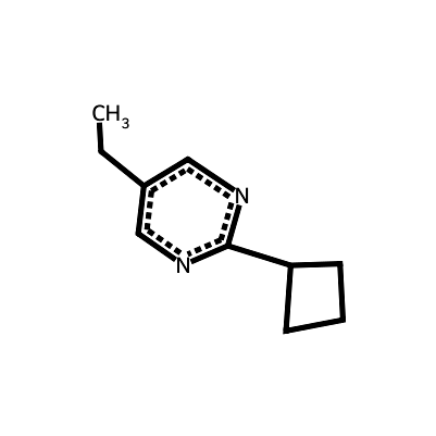 CCc1cnc(C2CCC2)nc1